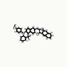 COc1ccc(N2c3ccccc3C(C)(C)c3c2ccc2cc(/C=C4/Oc5cc6ccccc6cc5C4=O)ccc32)cc1